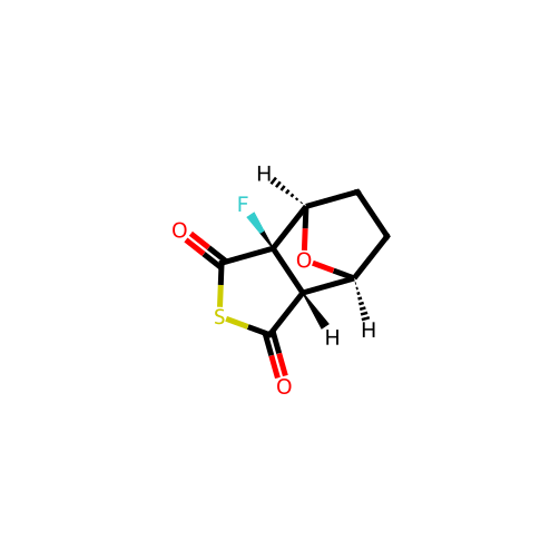 O=C1SC(=O)[C@]2(F)[C@H]3CC[C@H](O3)[C@H]12